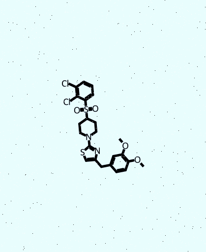 COc1ccc(Cc2csc(N3CCC(S(=O)(=O)c4cccc(Cl)c4Cl)CC3)n2)cc1OC